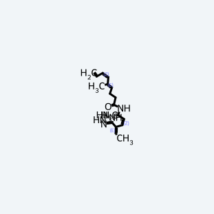 C=C/C=C\C(C)=C\CCC(=O)N[C@@H](C)/C=C\C(=C/C)C1=NNNN1